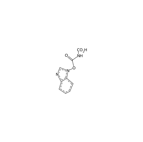 O=C(O)NC(=O)On1cnc2ccccc21